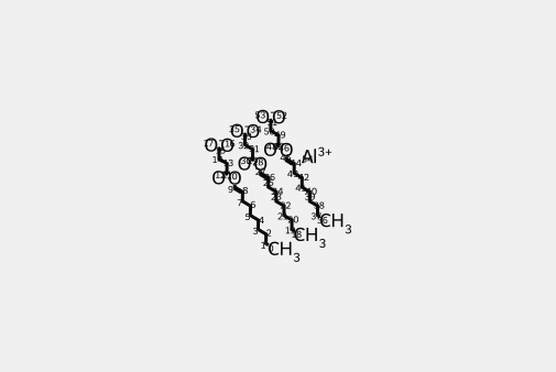 CCCCCCCCC=COC(=O)CCC(=O)[O-].CCCCCCCCC=COC(=O)CCC(=O)[O-].CCCCCCCCC=COC(=O)CCC(=O)[O-].[Al+3]